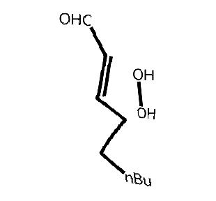 CCCCCCC=CC=O.OO